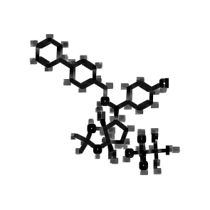 CC1(C)O[C@@H]2[C@H](O1)[C@@H](C(OCc1ccc(-c3ccccc3)cc1)c1ccc(Cl)cc1)C[C@@H]2OS(=O)(=O)C(F)(F)F